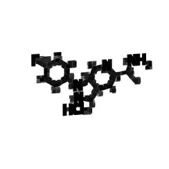 CC(N)c1cc2cnn(-c3ccc(F)cc3)c2cn1.Cl